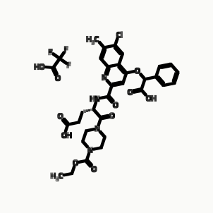 CCOC(=O)N1CCN(C(=O)[C@H](CCC(=O)O)NC(=O)c2cc(OC(C(=O)O)c3ccccc3)c3cc(Cl)c(C)cc3n2)CC1.O=C(O)C(F)(F)F